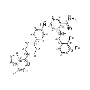 CC(=O)N1CCC[C@H]1C(=O)N1CCC(c2ccc(Nc3cc(NCc4cccc(F)c4F)c(C(N)=O)cn3)cc2)CC1